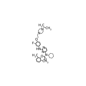 Cc1cccc(C)c1OC(=O)N(c1ccnc(Nc2ccc(OCCN3CCN(C(C)C)CC3)c(F)c2)n1)C1CCCCC1